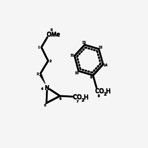 COCCC[N@@]1CC1C(=O)O.O=C(O)c1ccccc1